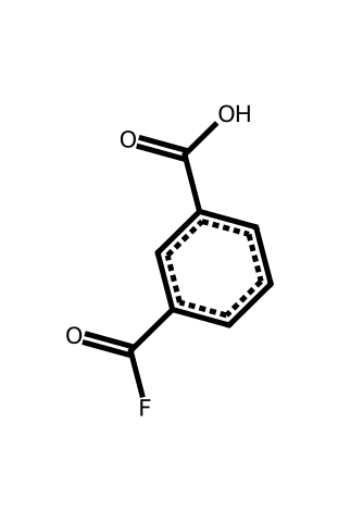 O=C(O)c1cccc(C(=O)F)c1